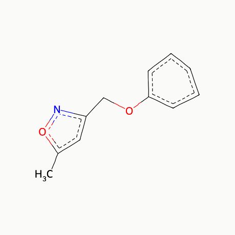 Cc1cc(COc2ccccc2)no1